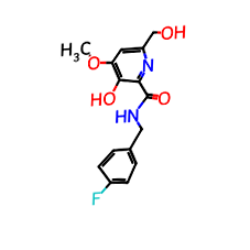 COc1cc(CO)nc(C(=O)NCc2ccc(F)cc2)c1O